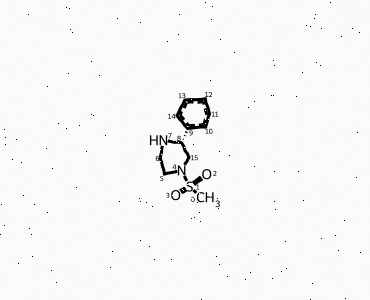 CS(=O)(=O)N1CCN[C@H](c2ccccc2)C1